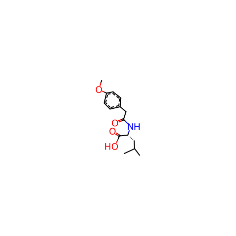 COc1ccc(CC(=O)N[C@H](CC(C)C)C(=O)O)cc1